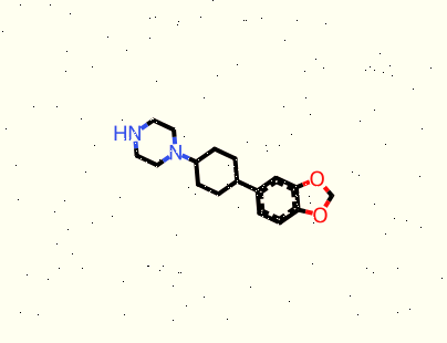 c1cc2c(cc1C1CCC(N3CCNCC3)CC1)OCO2